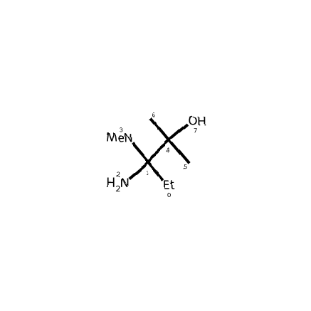 CCC(N)(NC)C(C)(C)O